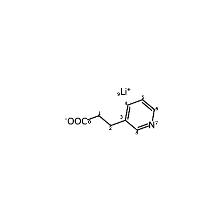 O=C([O-])CCc1cccnc1.[Li+]